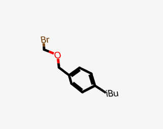 CCC(C)c1ccc(COCBr)cc1